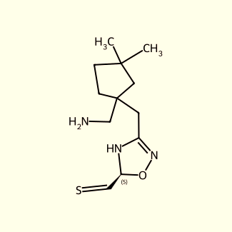 CC1(C)CCC(CN)(CC2=NO[C@@H](C=S)N2)C1